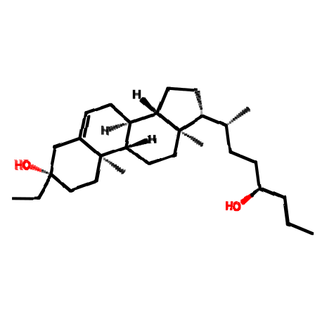 CCC[C@@H](O)CC[C@@H](C)[C@H]1CC[C@H]2[C@@H]3CC=C4C[C@](O)(CC)CC[C@]4(C)[C@H]3CC[C@]12C